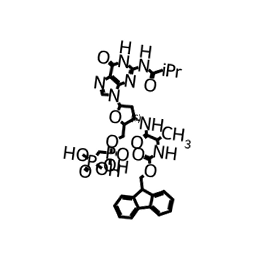 CC(C)C(=O)Nc1nc2c(ncn2C2C[C@H](NC(=O)C(C)NC(=O)OCC3c4ccccc4-c4ccccc43)C(COP(=O)(O)CP(=O)(O)O)O2)c(=O)[nH]1